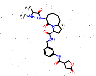 CNC(C)C(=O)N[C@H]1CCCC[C@H]2CC[C@@H](C(=O)NCc3cccc(NC(=O)C4COC(=O)C4)c3)N2C1=O